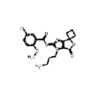 CCCCn1c2c(sc1=NC(=O)c1cc(Cl)ccc1OC)C1(CCC1)OC2=O